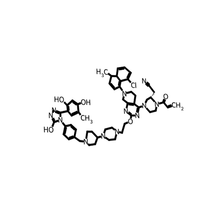 C=CC(=O)N1CCN(c2nc(OCCN3CCN(C4CCN(Cc5ccc(-n6c(O)nnc6-c6cc(C)c(O)cc6O)cc5)CC4)CC3)nc3c2CCN(C2=C4C(Cl)=CC=CC4C(C)C=C2)C3)C[C@@H]1CC#N